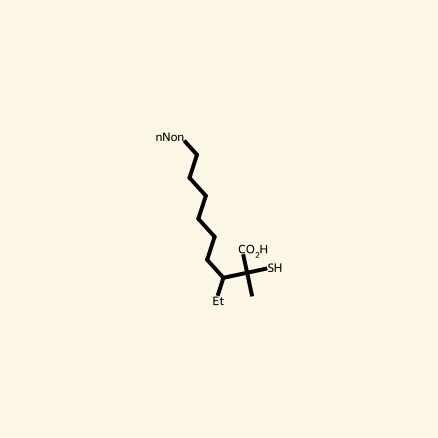 CCCCCCCCCCCCCCCC(CC)C(C)(S)C(=O)O